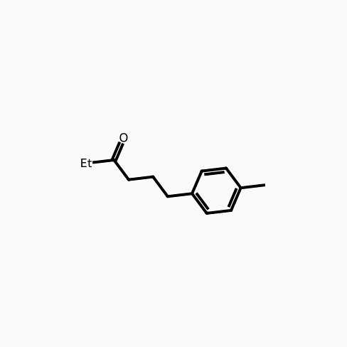 CCC(=O)CCCc1ccc(C)cc1